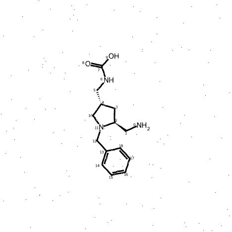 NC[C@@H]1C[C@@H](CNC(=O)O)CN1Cc1ccccc1